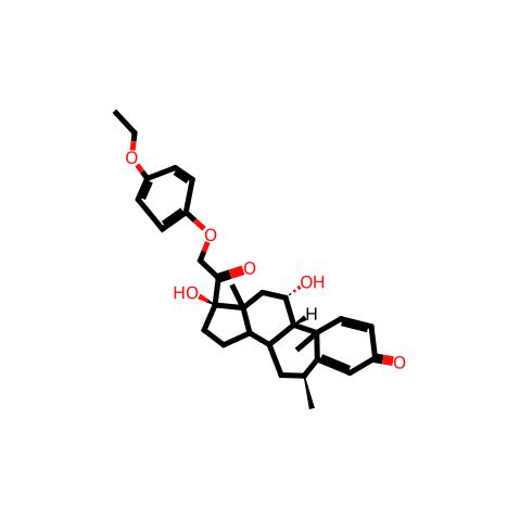 CCOc1ccc(OCC(=O)[C@@]2(O)CCC3C4C[C@H](C)C5=CC(=O)C=CC5(C)[C@H]4[C@@H](O)CC32C)cc1